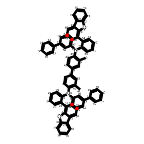 Cc1cc(-c2ccc(N(c3cccc(-c4ccccc4)c3)c3ccccc3-c3cccc4c3oc3ccccc34)c(C)c2)ccc1N(c1cccc(-c2ccccc2)c1)c1ccccc1-c1cccc2c1oc1ccccc12